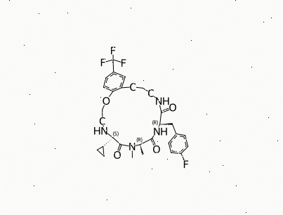 C[C@@H]1C(=O)N[C@H](Cc2ccc(F)cc2)C(=O)NCCCc2cc(C(F)(F)F)ccc2OCCN[C@@H](C2CC2)C(=O)N1C